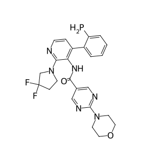 O=C(Nc1c(-c2ccccc2P)ccnc1N1CCC(F)(F)C1)c1cnc(N2CCOCC2)nc1